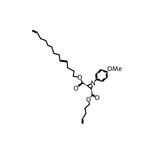 C=CCCCCCC/C=C/CCCOC(=O)[C@@H]1[C@H](C(=O)OCCCC=C)N1c1ccc(OC)cc1